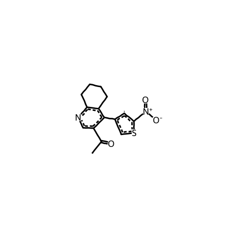 CC(=O)c1cnc2c(c1-c1[c]c([N+](=O)[O-])sc1)CCCC2